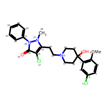 COc1ccc(Cl)cc1C1(O)CCN(CCc2c(Cl)c(=O)n(-c3ccccc3)n2C)CC1